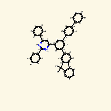 CC1(C)c2ccccc2-c2ccc(-c3cc(-c4ccc(-c5ccccc5)cc4)cc(-c4cc(-c5ccccc5)nc(-c5ccccc5)n4)c3)cc21